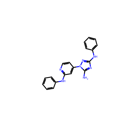 Nc1nc(Nc2ccccc2)nn1-c1ccnc(Nc2ccccc2)c1